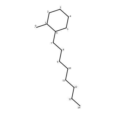 [CH2]C1CCCCC1CCCCCCCC